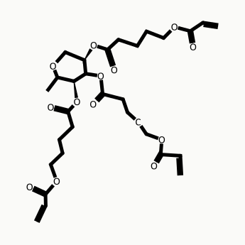 C=CC(=O)OCCCCC(=O)OC1[C@@H](OC(=O)CCCCOC(=O)C=C)C(C)OC[C@H]1OC(=O)CCCCOC(=O)C=C